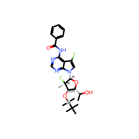 CC(O)[C@H]1O[C@@H](n2cc(F)c3c(NC(=O)c4ccccc4)ncnc32)[C@](C)(F)[C@@H]1O[Si](C)(C)C(C)(C)C